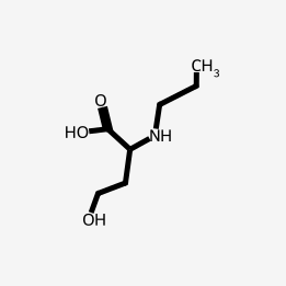 CCCNC(CCO)C(=O)O